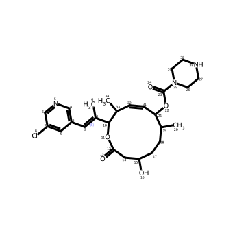 C/C(=C\c1cncc(Cl)c1)C1OC(=O)CC(O)CCC(C)C(OC(=O)N2CCNCC2)C=CC1C